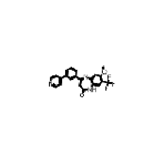 COc1cc2c(cc1C(F)(F)F)NC(=O)CC(c1cccc(-c3ccncc3)c1)=N2